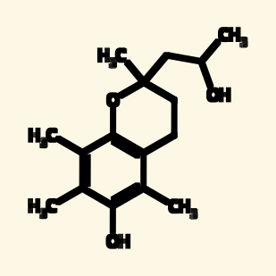 Cc1c(C)c2c(c(C)c1O)CCC(C)(CC(C)O)O2